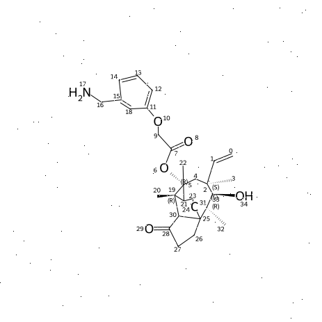 C=C[C@]1(C)C[C@@H](OC(=O)COc2cccc(CN)c2)[C@]2(C)C(C)CCC3(CCC(=O)C32)[C@@H](C)[C@@H]1O